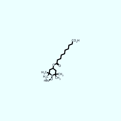 CCCCON1C(C)(C)CC(OC(=O)CCCCCCCCC(=O)O)CC1(C)C